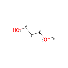 CO[CH]CCO